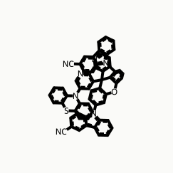 N#Cc1ccc2c(c1)c1ccccc1n2-c1ccc2c(c1)Oc1cccc(-n3c4ccccc4c4cc(C#N)ccc43)c1C21c2cccnc2-c2ncc(N3c4ccccc4Sc4ccccc43)cc21